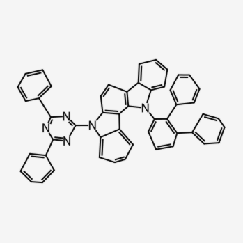 c1ccc(-c2nc(-c3ccccc3)nc(-n3c4ccccc4c4c3ccc3c5ccccc5n(-c5cccc(-c6ccccc6)c5-c5ccccc5)c34)n2)cc1